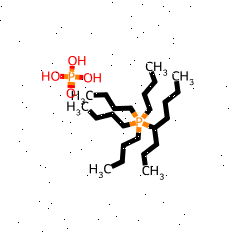 CCCCC(CCC)P(CCCC)(CCCC)(CCCC)CCCC.O=P(O)(O)O